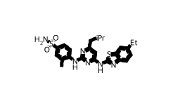 CCc1ccc2nc(Nc3cc(CC(C)C)nc(Nc4ccc(S(N)(=O)=O)cc4C)n3)sc2c1